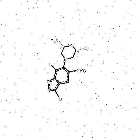 C[C@@H]1CN(c2c(C=O)cc3c(Cl)noc3c2F)C[C@H](C)O1